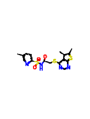 Cc1ccc(S(=O)(=O)NC(=O)CSc2ncnc3sc(C)c(C)c23)nc1